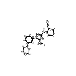 Nc1nc(NC2C=CC=CC2=C=O)nn1-c1cccc(N2CCOCC2)c1